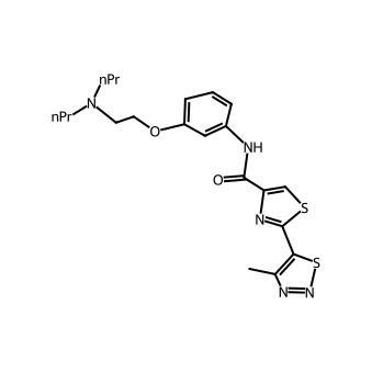 CCCN(CCC)CCOc1cccc(NC(=O)c2csc(-c3snnc3C)n2)c1